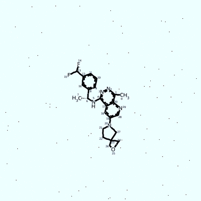 Cc1nnc(N[C@H](C)c2cccc(C(F)F)c2)c2cc(N3CCC4(COC4)C3)cnc12